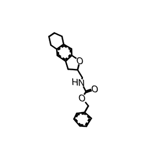 O=C(NCC1Cc2cc3c(cc2O1)CCCC3)OCc1ccccc1